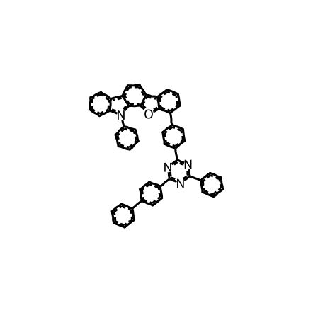 c1ccc(-c2ccc(-c3nc(-c4ccccc4)nc(-c4ccc(-c5cccc6c5oc5c6ccc6c7ccccc7n(-c7ccccc7)c65)cc4)n3)cc2)cc1